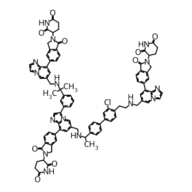 CC(NCc1cc(-c2ccc3c(c2)CN(C2CCC(=O)NC2=O)C3=O)c2ncc(-c3cccc(C(C)(C)NCc4cc(-c5ccc6c(c5)CN(C5CCC(=O)NC5=O)C6=O)c5nccn5c4)c3)n2c1)c1ccc(-c2ccc(CCNCc3cc(-c4ccc5c(c4)CN(C4CCC(=O)NC4=O)C5=O)c4nccn4c3)c(Cl)c2)cc1